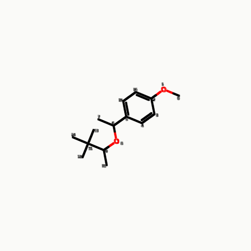 COc1ccc(C(C)OC(C)C(C)(C)C)cc1